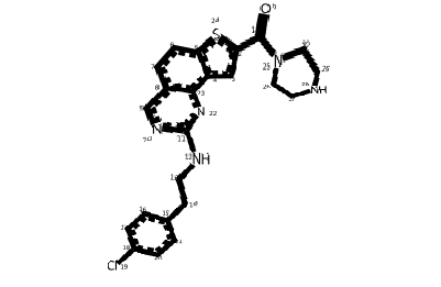 O=C(c1cc2c(ccc3cnc(NCCc4ccc(Cl)cc4)nc32)s1)N1CCNCC1